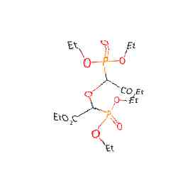 CCOC(=O)C(OC(C(=O)OCC)P(=O)(OCC)OCC)P(=O)(OCC)OCC